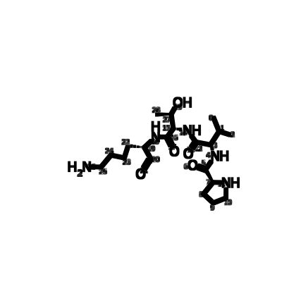 CC(C)[C@H](NC(=O)[C@@H]1CCCN1)C(=O)N[C@H](C(=O)N[C@H]([C]=O)CCCCN)[C@@H](C)O